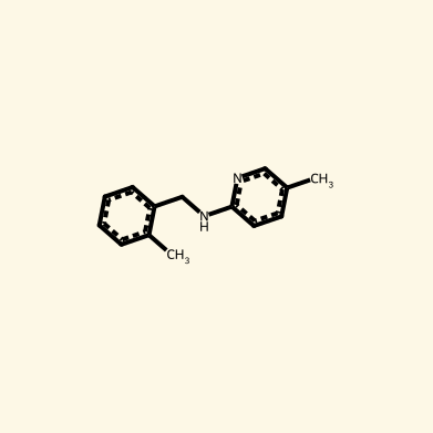 Cc1ccc(NCc2ccccc2C)nc1